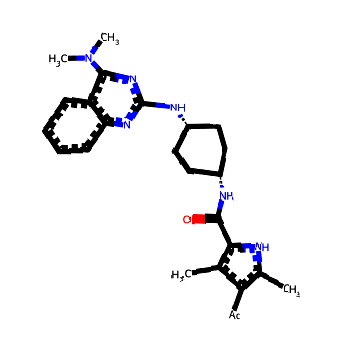 CC(=O)c1c(C)[nH]c(C(=O)N[C@H]2CC[C@@H](Nc3nc(N(C)C)c4ccccc4n3)CC2)c1C